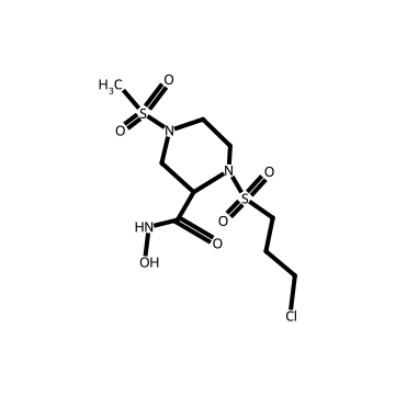 CS(=O)(=O)N1CCN(S(=O)(=O)CCCCl)C(C(=O)NO)C1